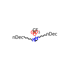 CCCCCCCCCCCCCCCCn1cc[n+](CCCCCCCCCCCCCCCC)c1.O=S(=O)([O-])C(F)(F)F